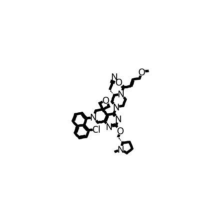 COC/C=C/C(=O)N1CCN(c2nc(OC[C@@H]3CCCN3C)nc3c2C2(COC2)CN(c2cccc4cccc(Cl)c24)C3)C[C@@H]1CC#N